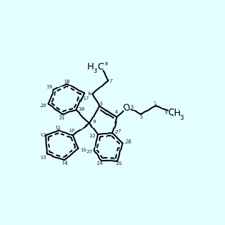 CCCOC1=C(CCC)C(c2ccccc2)(c2ccccc2)c2ccccc21